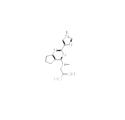 CN(CC(O)O)c1nc(-c2cn(C)cn2)nc2c1CCC2